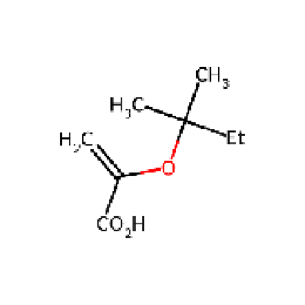 C=C(OC(C)(C)CC)C(=O)O